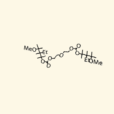 CCC(C)(C(C)(C)OC)C(C)(C)OC(=O)OCCOCCOC(=O)OC(C)(C)C(C)(CC)C(C)(C)OC